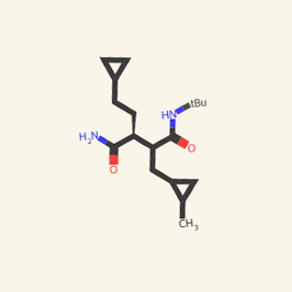 CC1CC1CC(C(=O)NC(C)(C)C)[C@H](CCC1CC1)C(N)=O